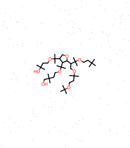 CC(C)(C)CCOC(C)(C)C(COC(C)(C)CCOC(C)(C)C)C1OCC(C(C)(C)OCCC(C)(C)O)C1C(C)(C)OCCC(C)(C)CO